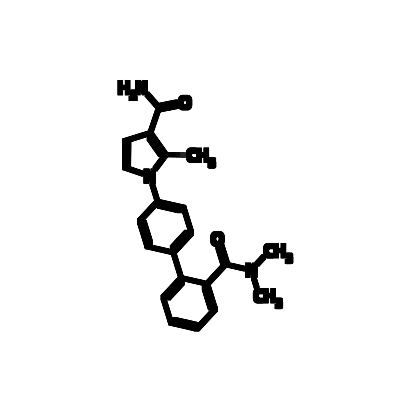 Cc1c(C(N)=O)ccn1-c1ccc(-c2ccccc2C(=O)N(C)C)cc1